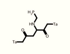 O=C([CH2][Ta])CC(NCP)C(=O)[CH2][Ta]